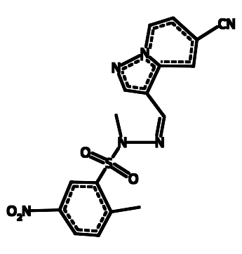 Cc1ccc([N+](=O)[O-])cc1S(=O)(=O)N(C)/N=C\c1cnn2ccc(C#N)cc12